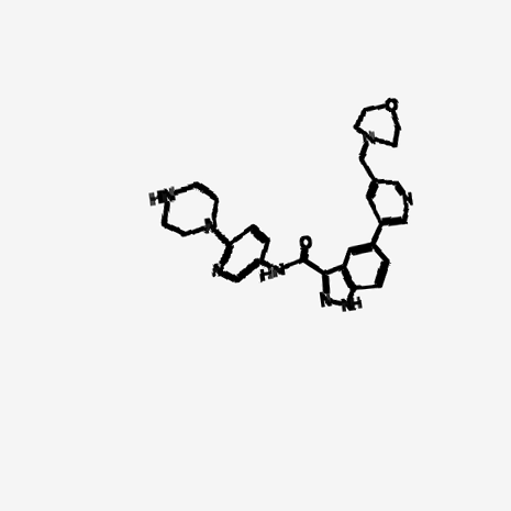 O=C(Nc1ccc(N2CCNCC2)nc1)c1n[nH]c2ccc(-c3cncc(CN4CCOCC4)c3)cc12